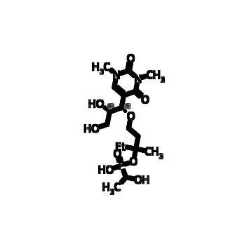 CCC(C)(CCO[C@@H](c1cn(C)c(=O)n(C)c1=O)[C@H](O)CO)OP(=O)(O)C(C)O